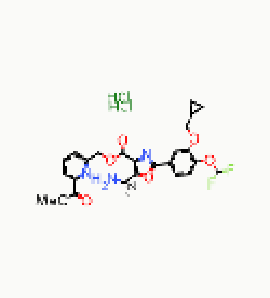 COC(=O)c1cccc(COC(=O)c2nc(-c3ccc(OC(F)F)c(OCC4CC4)c3)oc2[C@H](C)N)n1.Cl.Cl